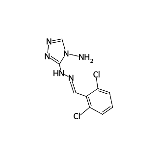 Nn1cnnc1N/N=C/c1c(Cl)cccc1Cl